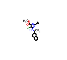 COC(=O)c1nc(C2CC2)nc(N[C@H](C)c2ccc3ccccc3c2)c1Cl